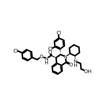 O=C(NOCc1ccc(Cl)cc1)[C@@H]1c2ccccc2C(=O)N([C@H]2CCCC[C@@H]2NCCO)[C@H]1c1ccc(Cl)cc1Cl